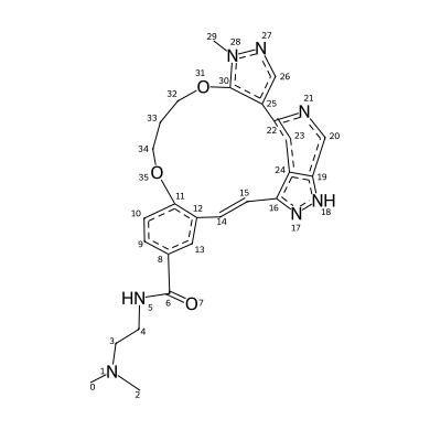 CN(C)CCNC(=O)c1ccc2c(c1)/C=C/c1n[nH]c3cnc(cc13)-c1cnn(C)c1OCCCO2